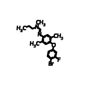 CCCN(C)C=Nc1cc(C)c(Oc2ccc(Br)c(F)c2)cc1C